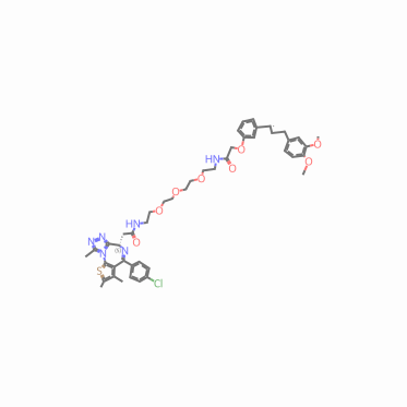 COc1ccc(CC[CH]c2cccc(OCC(=O)NCCOCCOCCOCCNC(=O)C[C@@H]3N=C(c4ccc(Cl)cc4)c4c(sc(C)c4C)-n4c(C)nnc43)c2)cc1OC